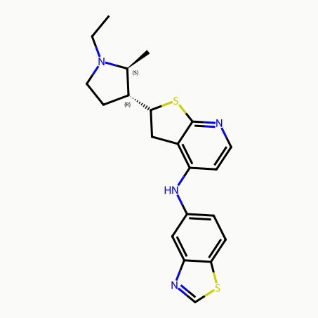 CCN1CC[C@@H](C2Cc3c(Nc4ccc5scnc5c4)ccnc3S2)[C@@H]1C